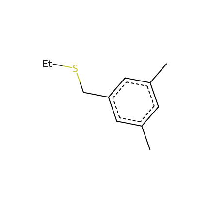 CCSCc1cc(C)cc(C)c1